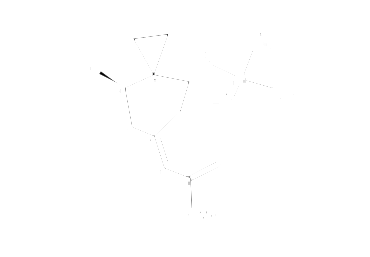 COC(=O)/C=C1/C[C@@H](C)C2(CC2)[C@H](O[Si](C)(C)C(C)(C)C)C1